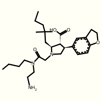 CCCCN(CCN)C(=O)CN1C[C@H](c2ccc3c(c2)CCO3)[C@@H](C(=O)O)[C@@H]1CC(C)(C)CCC